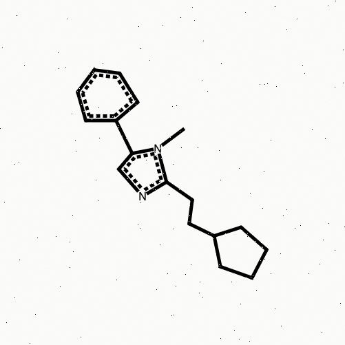 Cn1c(-c2cc[c]cc2)cnc1CCC1CCCC1